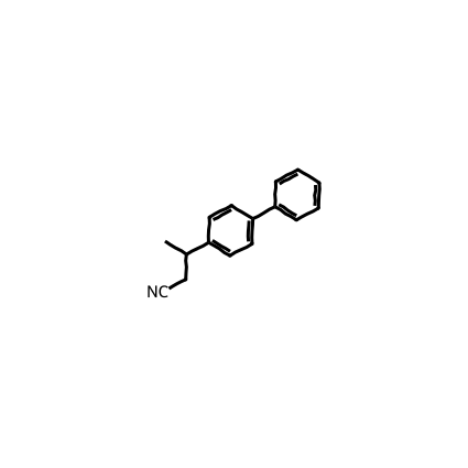 CC(CC#N)c1ccc(-c2ccccc2)cc1